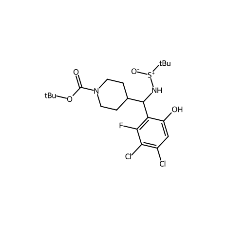 CC(C)(C)OC(=O)N1CCC(C(N[S+]([O-])C(C)(C)C)c2c(O)cc(Cl)c(Cl)c2F)CC1